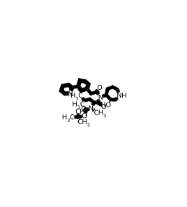 CC(C)CC(C(=O)N(C(=O)Cc1cccc(-c2ccccn2)c1)C1CCCNC[C@@H]1O)N(C)C(=O)OC(C)(C)C